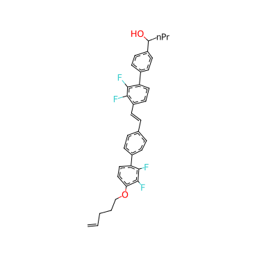 C=CCCCOc1ccc(-c2ccc(/C=C/c3ccc(-c4ccc(C(O)CCC)cc4)c(F)c3F)cc2)c(F)c1F